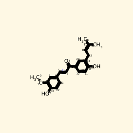 COc1cc(/C=C/C(=O)c2ccc(O)c(CC=C(C)C)c2)ccc1O